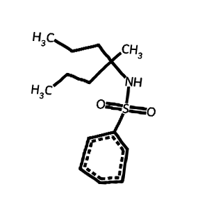 CCCC(C)(CCC)NS(=O)(=O)c1ccccc1